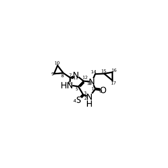 O=c1[nH]c(=S)c2[nH]c(C3CC3)nc2n1CC1CC1